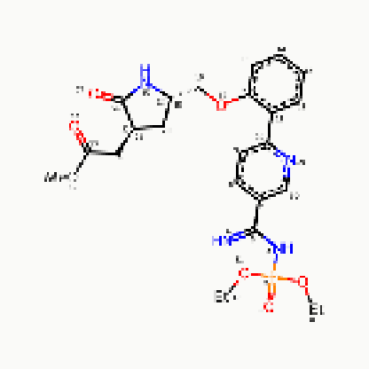 CCOP(=O)(NC(=N)c1ccc(-c2ccccc2OC[C@@H]2C[C@@H](CC(=O)OC)C(=O)N2)nc1)OCC